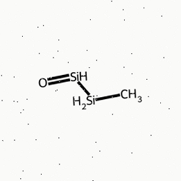 C[SiH2][SiH]=O